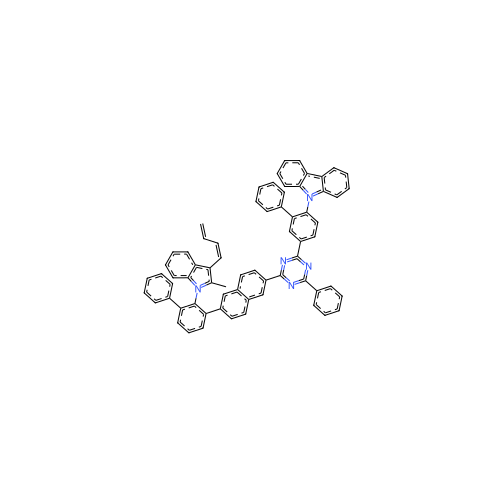 C=C/C=C\c1c(C)n(-c2c(-c3ccccc3)cccc2-c2ccc3cc(-c4nc(-c5ccccc5)nc(-c5ccc(-n6c7ccccc7c7ccccc76)c(-c6ccccc6)c5)n4)ccc3c2)c2ccccc12